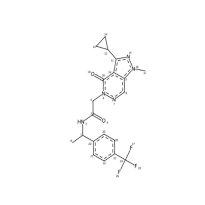 CC(NC(=O)Cn1ncc2c(c(C3CC3)nn2C)c1=O)c1ccc(C(F)(F)F)cc1